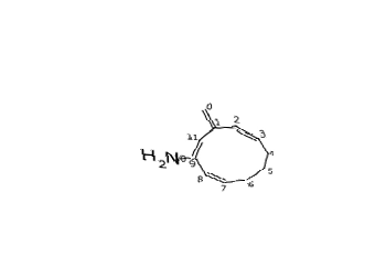 C=C1/C=C\CCC/C=C\C(N)=C/1